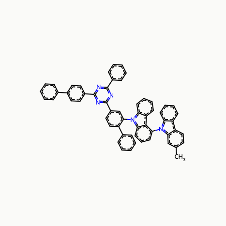 Cc1ccc2c3ccccc3n(-c3cccc4c3c3ccccc3n4-c3cc(-c4nc(-c5ccccc5)nc(-c5ccc(-c6ccccc6)cc5)n4)ccc3-c3ccccc3)c2c1